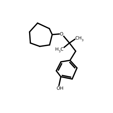 CC(C)(Cc1ccc(O)cc1)OC1CCCCCC1